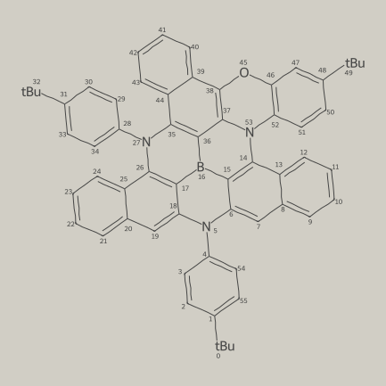 CC(C)(C)c1ccc(N2c3cc4ccccc4c4c3B3c5c2cc2ccccc2c5N(c2ccc(C(C)(C)C)cc2)c2c3c3c(c5ccccc25)Oc2cc(C(C)(C)C)ccc2N34)cc1